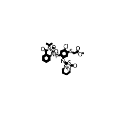 CC(C)N1C(=O)c2ccccc2NS1(=O)=O.COC(=O)CSc1cc(/N=c2\sc(=O)n3n2CCCC3)c(F)cc1Cl